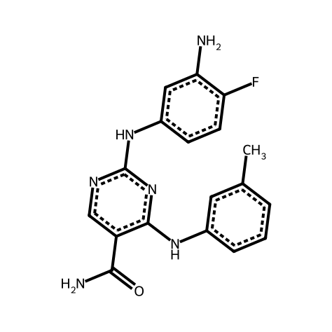 Cc1cccc(Nc2nc(Nc3ccc(F)c(N)c3)ncc2C(N)=O)c1